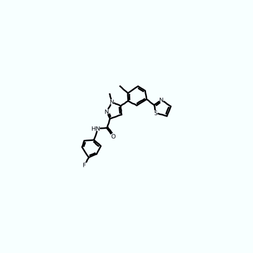 Cc1ccc(-c2nccs2)cc1-c1cc(C(=O)Nc2ccc(F)cc2)nn1C